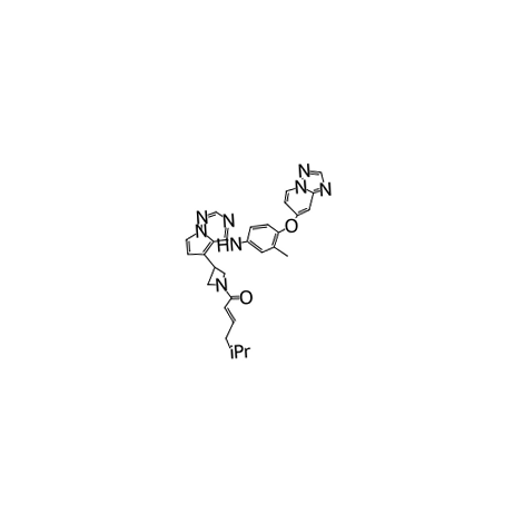 Cc1cc(Nc2ncnn3ccc(C4CN(C(=O)/C=C/CC(C)C)C4)c23)ccc1Oc1ccn2ncnc2c1